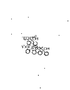 O=C([O-])C(O)(c1ccccc1)c1ccccc1.O=C([O-])C(O)(c1ccccc1)c1ccccc1.O=C([O-])C(O)(c1ccccc1)c1ccccc1.[Al+3]